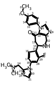 COc1ccc(-n2cnc3c2C(=O)CC(c2ccc(-n4ccnc4CN(C)C)cc2F)NC3)cc1